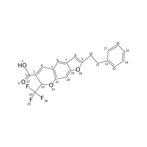 O=C(O)C1=Cc2cc3cc(CCc4ccccc4)oc3cc2OC1C(F)(F)F